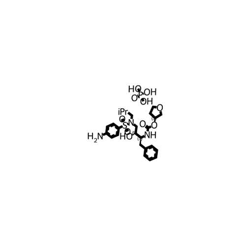 CC(C)CN(C[C@@H](O)[C@H](Cc1ccccc1)NC(=O)O[C@H]1CCOC1)S(=O)(=O)c1ccc(N)cc1.O=P(O)(O)O